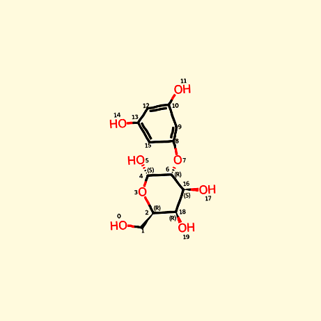 OC[C@H]1O[C@H](O)[C@H](Oc2cc(O)cc(O)c2)[C@@H](O)[C@H]1O